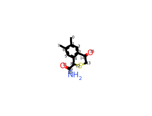 Cc1cc2c(cc1C)C(C(N)=O)SCC2=O